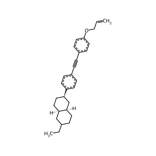 C=CCOc1ccc(C#Cc2ccc([C@@H]3CC[C@@H]4CC(CC)CC[C@@H]4C3)cc2)cc1